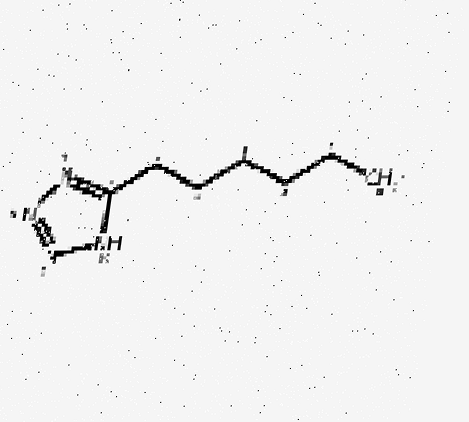 [CH2]CCCCCc1nnn[nH]1